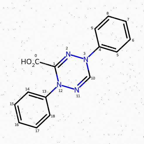 O=C(O)C1=NN(c2ccccc2)C=NN1c1ccccc1